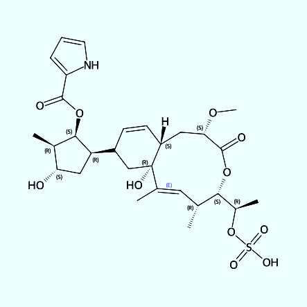 CO[C@H]1C[C@H]2C=CC([C@H]3C[C@H](O)[C@@H](C)[C@H]3OC(=O)c3ccc[nH]3)C[C@]2(O)/C(C)=C/[C@@H](C)[C@@H]([C@@H](C)OS(=O)(=O)O)OC1=O